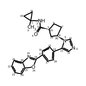 CC1(NC(=O)[C@H]2CC[C@@H](n3cncc3-c3ccc(-c4nc5ccccc5o4)cc3)C2)CC1